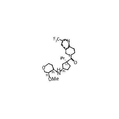 CO[C@H]1COCC[C@H]1N[C@@H]1CC[C@@](C(=O)N2CCc3ncc(C(F)(F)F)cc3C2)(C(C)C)C1